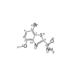 COc1ccc(Br)c2sc(C(N)=O)nc12